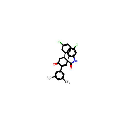 O=C1C[C@@H](C2C=CC=C(Cl)C2)[C@@]2(C=C1c1cc(C(F)(F)F)cc(C(F)(F)F)c1)C(=O)Nc1cc(Cl)ccc12